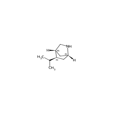 CC(C)[C@@H]1C[C@@H]2C[C@H]1CN2